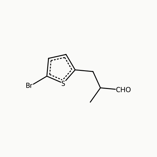 CC(C=O)Cc1ccc(Br)s1